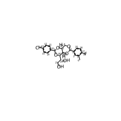 Cc1cc(C2OC[C@@H]3OC(c4ccc(Cl)cc4)O[C@H]([C@H](O)CO)[C@@H]3O2)ccc1F